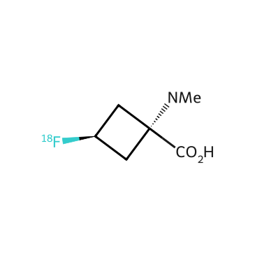 CN[C@]1(C(=O)O)C[C@@H]([18F])C1